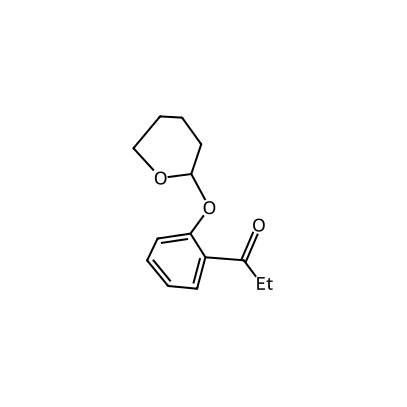 CCC(=O)c1ccccc1OC1CCCCO1